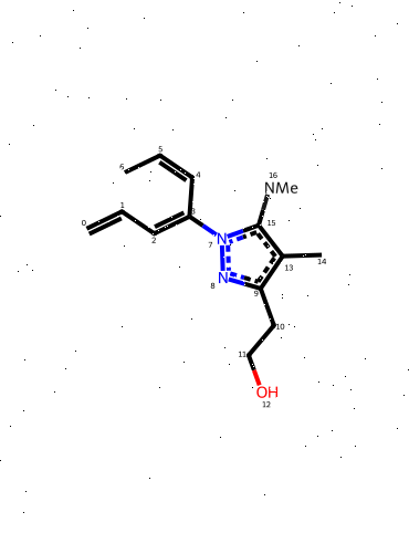 C=C/C=C(\C=C/C)n1nc(CCO)c(C)c1NC